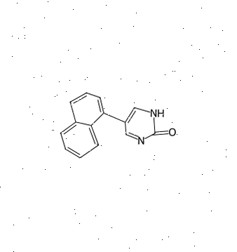 O=c1ncc(-c2cccc3ccccc23)c[nH]1